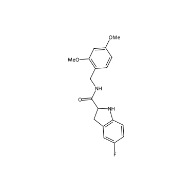 COc1ccc(CNC(=O)C2Cc3cc(F)ccc3N2)c(OC)c1